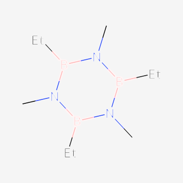 CCB1N(C)B(CC)N(C)B(CC)N1C